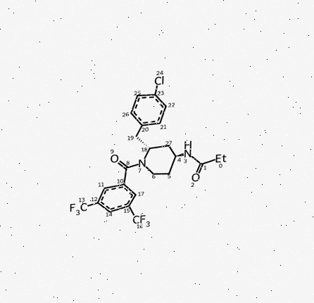 CCC(=O)N[C@H]1CCN(C(=O)c2cc(C(F)(F)F)cc(C(F)(F)F)c2)[C@H](Cc2ccc(Cl)cc2)C1